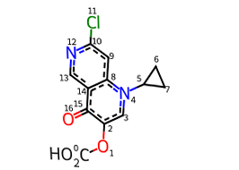 O=C(O)Oc1cn(C2CC2)c2cc(Cl)ncc2c1=O